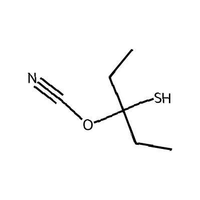 CCC(S)(CC)OC#N